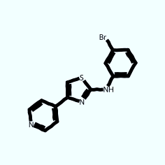 Brc1cccc(Nc2nc(-c3ccncc3)cs2)c1